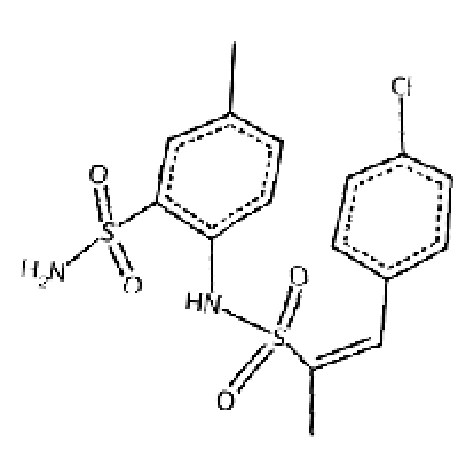 CC(=Cc1ccc(Cl)cc1)S(=O)(=O)Nc1ccc(C)cc1S(N)(=O)=O